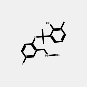 Cc1cccc(C(C)(C)Pc2ccc(F)cc2CNC(C)(C)C)c1O